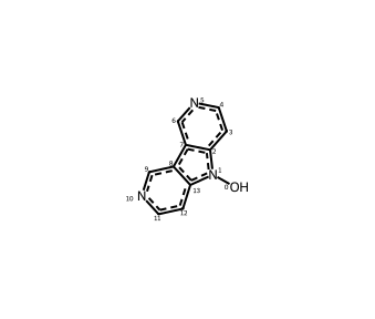 On1c2ccncc2c2cnccc21